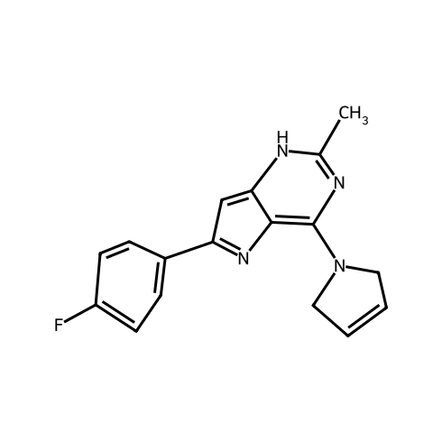 Cc1nc(N2CC=CC2)c2nc(-c3ccc(F)cc3)cc-2[nH]1